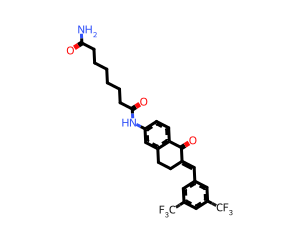 NC(=O)CCCCCCC(=O)Nc1ccc2c(c1)CC/C(=C\c1cc(C(F)(F)F)cc(C(F)(F)F)c1)C2=O